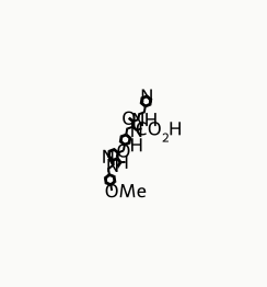 COc1ccc(Cn2cc(I)c3c(Oc4ccc(CC(NC(=O)O)C(=O)NCCc5ccncc5)cc4)ccnc32)cc1